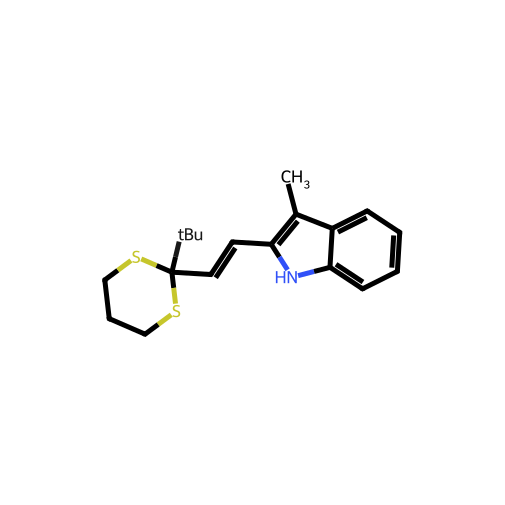 Cc1c(/C=C/C2(C(C)(C)C)SCCCS2)[nH]c2ccccc12